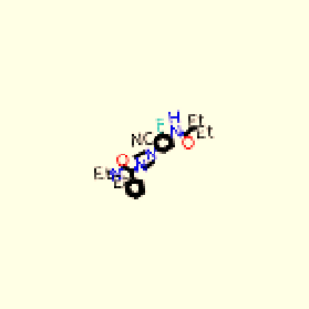 CCC(CC)C(=O)Nc1ccc(N2CCN(C(C(=O)N(CC)CC)c3ccccc3)CC2)c(C#N)c1F